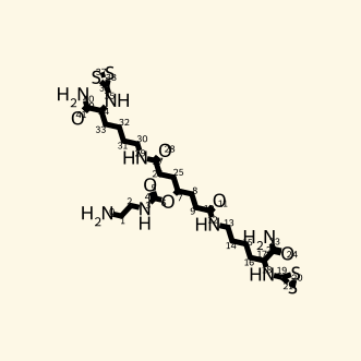 NCCNC(=O)OC(CCC(=O)NCCCCC(NC1SS1)C(N)=O)CCC(=O)NCCCCC(NC1SS1)C(N)=O